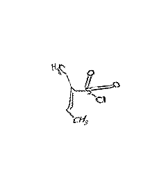 CC=C(C)S(=O)(=O)Cl